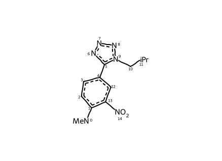 CNc1ccc(-c2nnnn2CC(C)C)cc1[N+](=O)[O-]